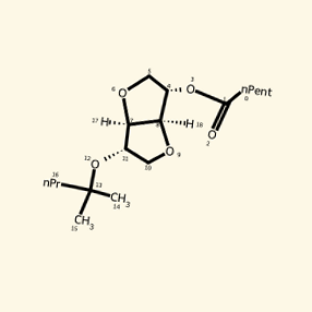 CCCCCC(=O)O[C@H]1CO[C@H]2[C@@H]1OC[C@@H]2OC(C)(C)CCC